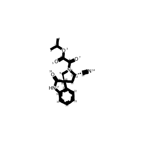 CC(C)OC(=O)C(=O)N1C[C@]2(C[C@H]1C#N)C(=O)Nc1ccccc12